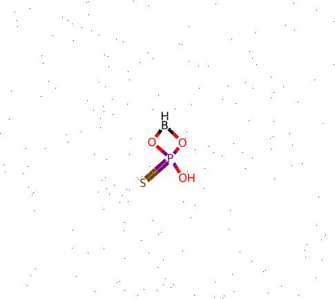 OP1(=S)OBO1